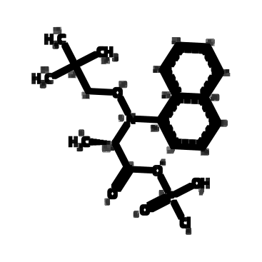 C[C@@H](C(=O)OP(=O)(O)Cl)N(OCC(C)(C)C)c1cccc2ccccc12